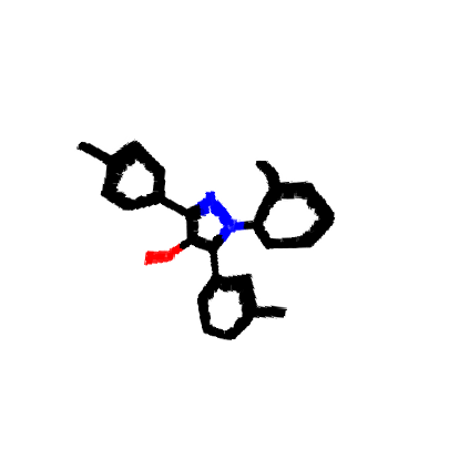 Cc1ccc(-c2nn(-c3ccccc3C)c(-c3cccc(C)c3)c2O)cc1